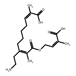 CC(=CCCCCC(CCN)=C(C)C(=O)OCC=C(C)C(=O)O)C(=O)O